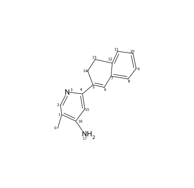 Cc1cnc(C2=Cc3ccccc3CC2)cc1N